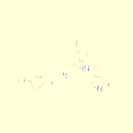 O=C(Nc1ccc(F)cc1C1CCN(C/C=C/c2ccc(Cl)cc2)CC1)c1ccnc(Cl)c1